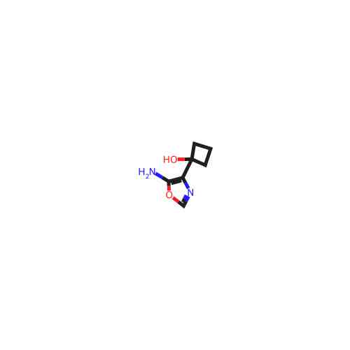 Nc1ocnc1C1(O)CCC1